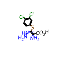 NN/C(Sc1ccc(Cl)c(Cl)c1)=C(\N)C(=O)O